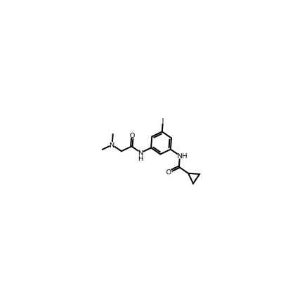 CN(C)CC(=O)Nc1cc(I)cc(NC(=O)C2CC2)c1